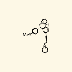 CSc1ccc([C@@H]2CN3CCC[C@@H]3c3ccc(C#CCCN4CCCCC4)cc32)cc1